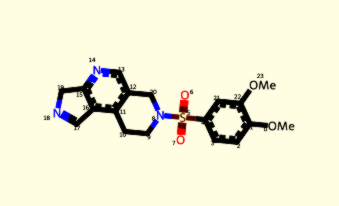 COc1ccc(S(=O)(=O)N2CCc3c(cnc4c3C=NC4)C2)cc1OC